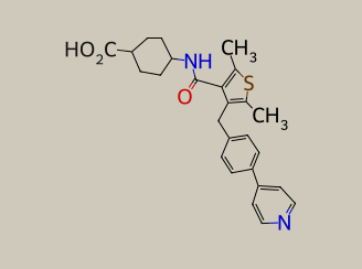 Cc1sc(C)c(C(=O)NC2CCC(C(=O)O)CC2)c1Cc1ccc(-c2ccncc2)cc1